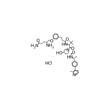 Cc1ncsc1-c1ccc([C@H](C)NC(=O)[C@@H]2C[C@@H](O)CN2C(=O)[C@@H](NC(=O)CCc2cccc(OC[C@@H](N)CCC(N)=O)c2)C(C)(C)C)cc1.Cl